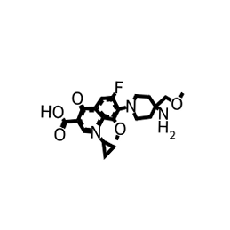 COCC1(N)CCN(c2c(F)cc3c(=O)c(C(=O)O)cn(C4CC4)c3c2OC)CC1